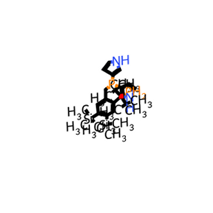 CC(C)(C)C(P)(c1cc([Si](C)(C)C)c([Si](C)(C)C)cc1CP(c1cc[nH]c1)c1cc[nH]c1)C(C)(C)C